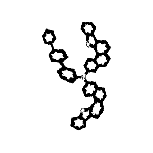 c1ccc(-c2ccc(-c3cccc(N(c4ccc5c(ccc6ccc7c8ccccc8oc7c65)c4)c4ccc5c(ccc6ccc7c8ccccc8oc7c65)c4)c3)cc2)cc1